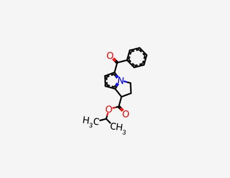 CC(C)OC(=O)C1CCn2c(C(=O)c3ccccc3)ccc21